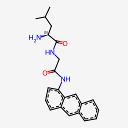 CC(C)C[C@H](N)C(=O)NCC(=O)Nc1cccc2cc3ccccc3cc12